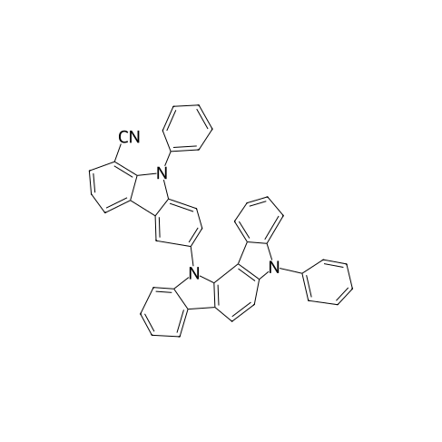 N#Cc1cccc2c3cc(-n4c5ccccc5c5ccc6c(c7ccccc7n6-c6ccccc6)c54)ccc3n(-c3ccccc3)c12